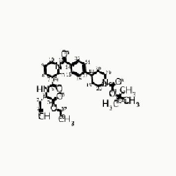 C#CC[C@H](NC(=O)[C@@H]1CCCN(C(=O)c2ccc(C3CCN(C(=O)OC(C)(C)C)CC3)cc2)C1)C(=O)OCC